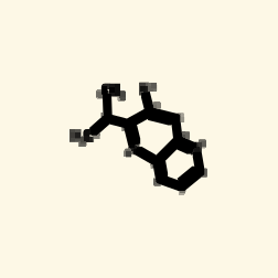 CC(C)c1nc2cccnc2cc1F